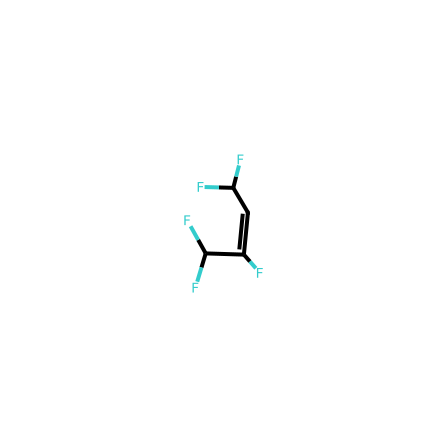 F/C(=C/C(F)F)C(F)F